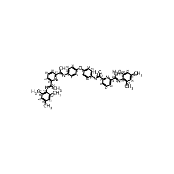 C/C(=N\c1ccc(Oc2ccc(/N=C(\C)c3cccc(/C(C)=N/c4c(C)cc(C)cc4C)n3)cc2)cc1)c1cccc(/C(C)=N/c2c(C)cc(C)cc2C)n1